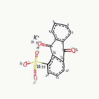 O=C1c2ccccc2C(=O)c2c1cccc2S(=O)(=O)[O-].[K+]